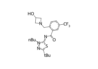 CCCCn1nc(C(C)(C)C)sc1=NC(=O)c1cc(C(F)(F)F)ccc1CN1CC(O)C1